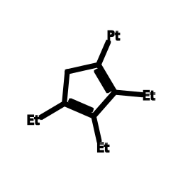 CCC1=C(CC)C(CC)=[C]([Pt])C1